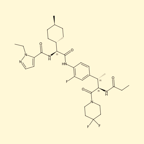 CCC(=O)N[C@@H](C(=O)N1CCC(F)(F)CC1)[C@@H](C)c1ccc(NC(=O)[C@@H](NC(=O)c2ccnn2CC)[C@H]2CC[C@H](C)CC2)c(F)c1